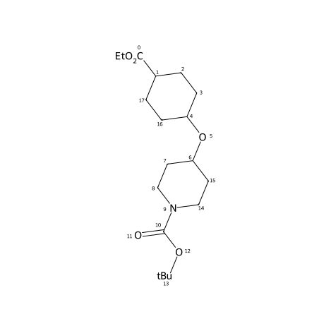 CCOC(=O)C1CCC(OC2CCN(C(=O)OC(C)(C)C)CC2)CC1